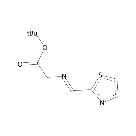 CC(C)(C)OC(=O)CN=Cc1nccs1